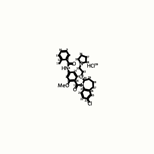 COc1cc(NC(=O)c2ccccc2C)ccc1C(=O)N1c2ccc(Cl)cc2CCCC1OCCN1CCCC1.Cl